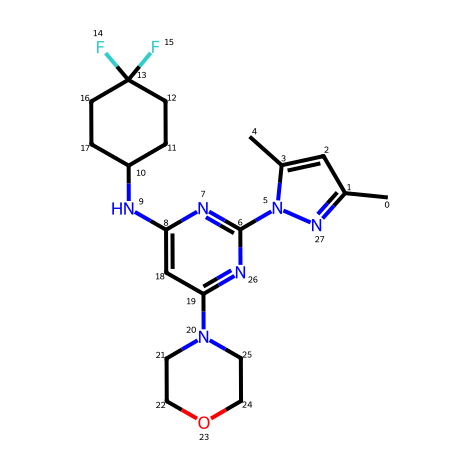 Cc1cc(C)n(-c2nc(NC3CCC(F)(F)CC3)cc(N3CCOCC3)n2)n1